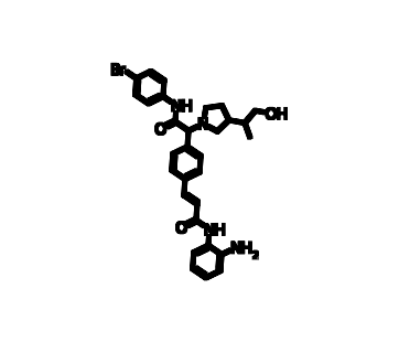 CC(CO)C1CCN(C(C(=O)Nc2ccc(Br)cc2)c2ccc(/C=C/C(=O)Nc3ccccc3N)cc2)C1